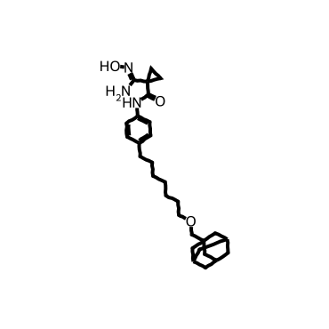 N/C(=N\O)C1(C(=O)Nc2ccc(CCCCCCCOCC34CC5CC(CC(C5)C3)C4)cc2)CC1